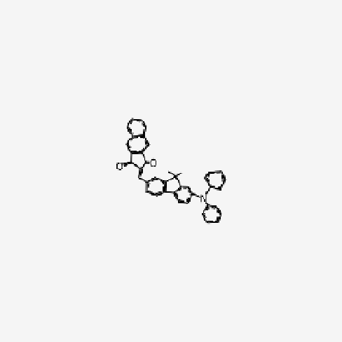 CC1(C)c2cc(C=C3C(=O)c4cc5ccccc5cc4C3=O)ccc2-c2ccc(N(c3ccccc3)c3ccccc3)cc21